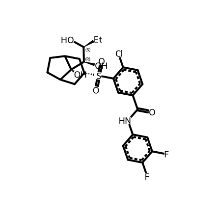 CC[C@H](O)[C@@H](O)[C@]1(O)C2CCC1C[C@@H](S(=O)(=O)c1cc(C(=O)Nc3ccc(F)c(F)c3)ccc1Cl)C2